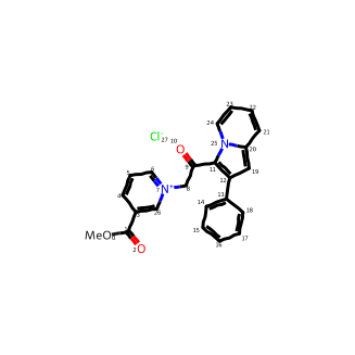 COC(=O)c1ccc[n+](CC(=O)c2c(-c3ccccc3)cc3ccccn23)c1.[Cl-]